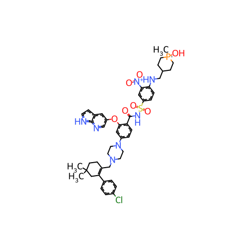 CC1(C)CCC(CN2CCN(c3ccc(C(=O)NS(=O)(=O)c4ccc(NCC5CC[P](C)(O)CC5)c([N+](=O)[O-])c4)c(Oc4cnc5[nH]ccc5c4)c3)CC2)=C(c2ccc(Cl)cc2)C1